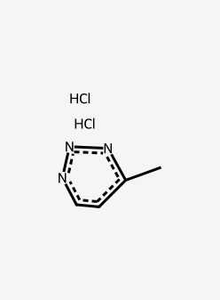 Cc1ccnnn1.Cl.Cl